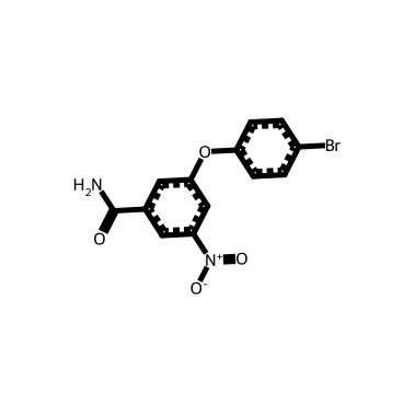 NC(=O)c1cc(Oc2ccc(Br)cc2)cc([N+](=O)[O-])c1